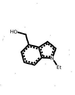 CCn1ccc2c(CO)cccc21